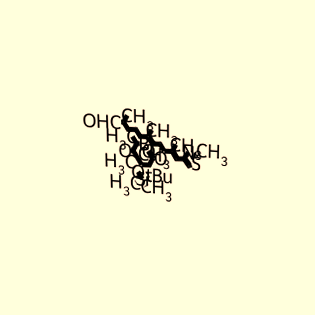 C/C(=C\CC(OC(=O)CC(O[Si](C)(C)C(C)(C)C)C(C)(C)C(=O)C(C)Br)/C(C)=C/c1csc(C)n1)CCCC(C)C=O